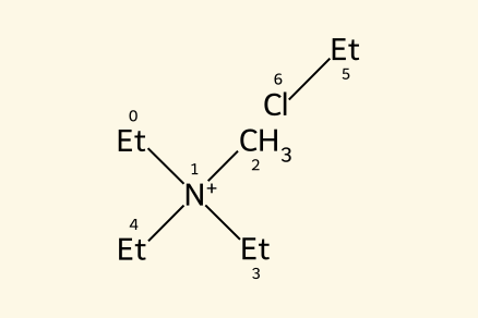 CC[N+](C)(CC)CC.[CH2]CCl